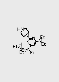 CCN(CC)c1cc(N(CC)CC)nc(N2CCNCC2)n1.CCNCC